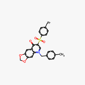 Cc1ccc(Cn2cc(S(=O)(=O)c3ccc(C(C)C)cc3)c(=O)c3cc4c(cc32)OCO4)cc1